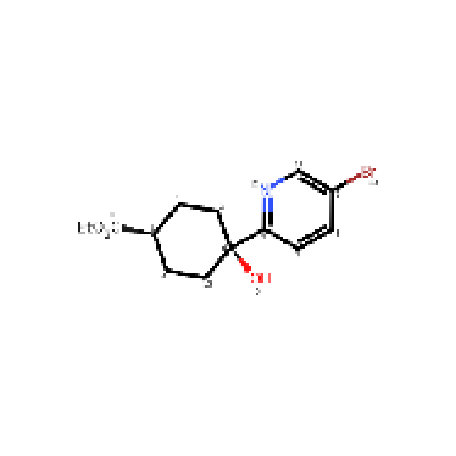 CCOC(=O)[C@H]1CC[C@](O)(c2ccc(Br)cn2)CC1